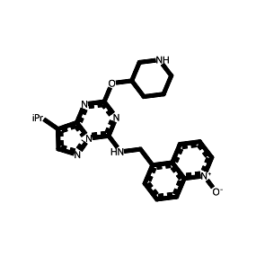 CC(C)c1cnn2c(NCc3cccc4c3ccc[n+]4[O-])nc(OC3CCCNC3)nc12